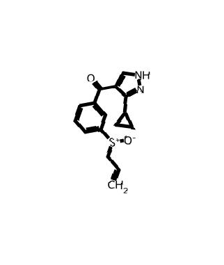 C=CC[S+]([O-])c1cccc(C(=O)c2c[nH]nc2C2CC2)c1